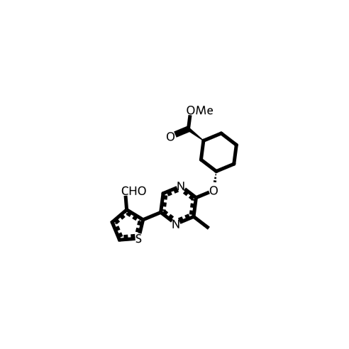 COC(=O)[C@H]1CCC[C@H](Oc2ncc(-c3sccc3C=O)nc2C)C1